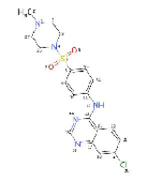 CN1CCN(S(=O)(=O)c2ccc(Nc3ncnc4cc(Cl)ccc34)cc2)CC1